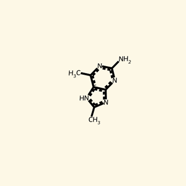 Cc1nc2nc(N)nc(C)c2[nH]1